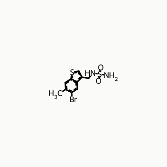 Cc1cc2scc(CNS(N)(=O)=O)c2cc1Br